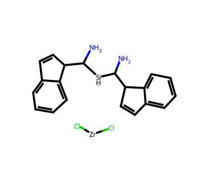 NC([SiH]C(N)C1C=Cc2ccccc21)C1C=Cc2ccccc21.[Cl][Zr][Cl]